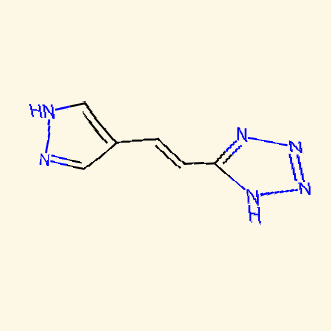 C(=Cc1nnn[nH]1)c1cn[nH]c1